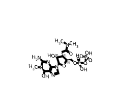 CN(C)C(=O)C[C@H]1[C@@H](O)[C@H](n2cnc3c2N=C(N)N(C)C3O)O[C@@H]1COP(=O)(O)OP(=O)(O)O